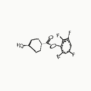 O=C(Oc1c(F)c(F)cc(F)c1F)[C@H]1CC[C@H](O)CC1